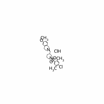 COc1ccc2c(c1)CCN(CC1CCCN(S(=O)(=O)c3cc(C)c(Cl)cc3C)C1)C2.Cl